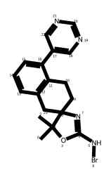 CC1(C)OC(NBr)=NC12CCc1c(cccc1-c1cncnc1)C2